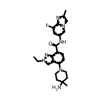 CCn1cc2c(N3CCC(C)(N)CC3)ccc(C(=O)Nc3cc(F)c4nc(C)cn4c3)c2n1